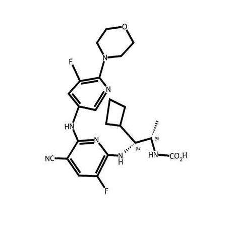 C[C@H](NC(=O)O)[C@H](Nc1nc(Nc2cnc(N3CCOCC3)c(F)c2)c(C#N)cc1F)C1CCC1